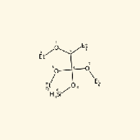 CCOC(CC)C(O[SiH3])(OCC)OCC